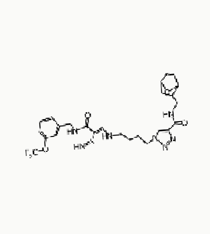 N=N/C(=C\NCCCCn1cc(C(=O)NCC2CC3CCC2O3)nn1)C(=O)NCc1cccc(OC(F)(F)F)c1